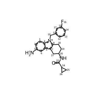 Nc1ccc2c(c1)c1c(n2Cc2cccc(F)c2)CCC(NC(=O)C2CC2)C1